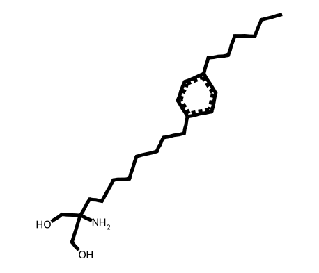 CCCCCCc1ccc(CCCCCCCCC(N)(CO)CO)cc1